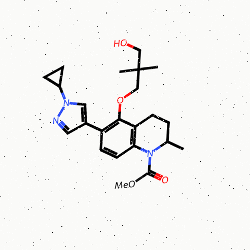 COC(=O)N1c2ccc(-c3cnn(C4CC4)c3)c(OCC(C)(C)CO)c2CCC1C